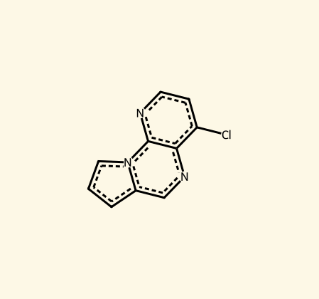 Clc1ccnc2c1ncc1cccn12